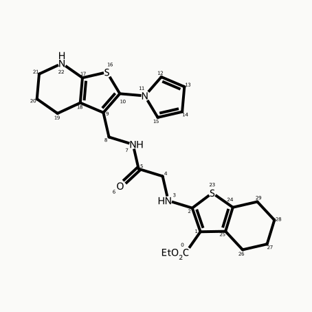 CCOC(=O)c1c(NCC(=O)NCc2c(-n3cccc3)sc3c2CCCN3)sc2c1CCCC2